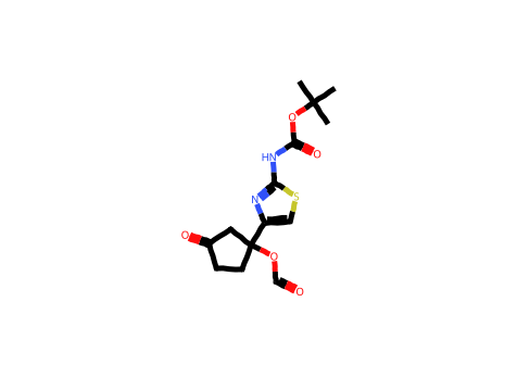 CC(C)(C)OC(=O)Nc1nc(C2(OC=O)CCC(=O)C2)cs1